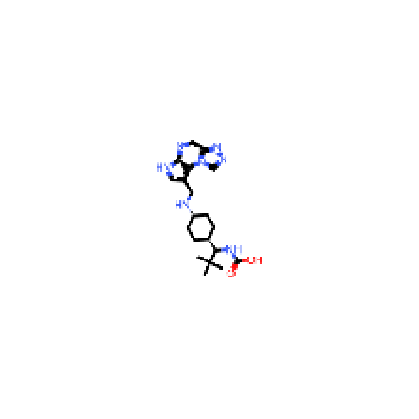 CC(C)(C)C(NC(=O)O)[C@H]1CC[C@H](NCc2c[nH]c3ncc4nncn4c23)CC1